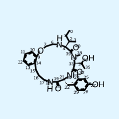 CCC(C)[C@@H]1NCCOc2ccccc2CCCNC(=O)[C@@H](Cc2ccc(O)cc2)NC(=O)[C@H](C(C)O)N(C)C1=O